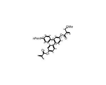 C=C(C)C(=O)Oc1ccc(-c2ccc(OC(=O)C(=C)COC)cc2-c2ccc(CCCCC)cc2)cc1